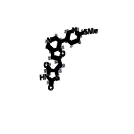 CSc1ccc(-c2cncc3cc(/C=C4/SC(=O)NC4=O)oc23)cn1